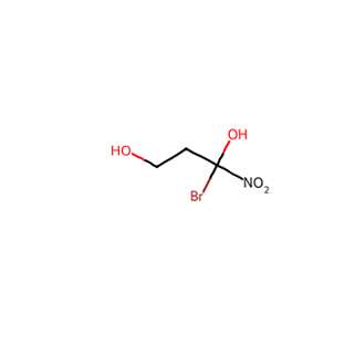 O=[N+]([O-])C(O)(Br)CCO